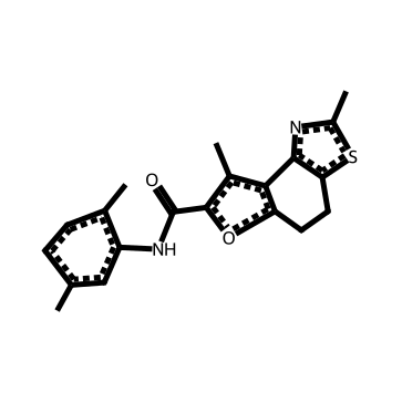 Cc1ccc(C)c(NC(=O)c2oc3c(c2C)-c2nc(C)sc2CC3)c1